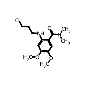 COc1cc(NCCCCl)c(C(=O)N(C)C)cc1OC